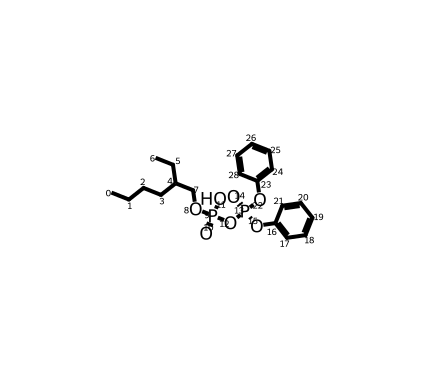 CCCCC(CC)COP(=O)(O)OP(=O)(Oc1ccccc1)Oc1ccccc1